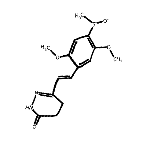 COc1cc([S+](C)[O-])c(OC)cc1C=CC1=NNC(=O)CC1